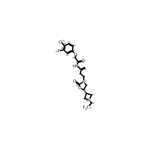 C=C(CCN1C[C@@H](C2CN(CC(F)(F)F)C2)OC1=O)NC(=O)COc1ccc(Cl)c(F)c1